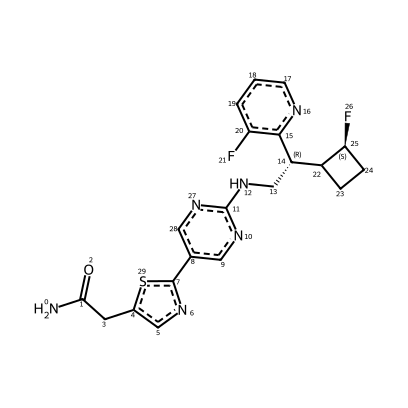 NC(=O)Cc1cnc(-c2cnc(NC[C@H](c3ncccc3F)C3CC[C@@H]3F)nc2)s1